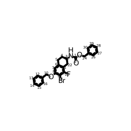 O=C(N[C@@H]1CCc2cc(OCc3ccccc3)c(Br)c(F)c2C1)OCc1ccccc1